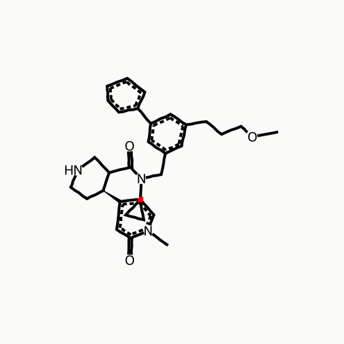 COCCCc1cc(CN(C(=O)C2CNCC[C@@H]2c2ccn(C)c(=O)c2)C2CC2)cc(-c2ccccc2)c1